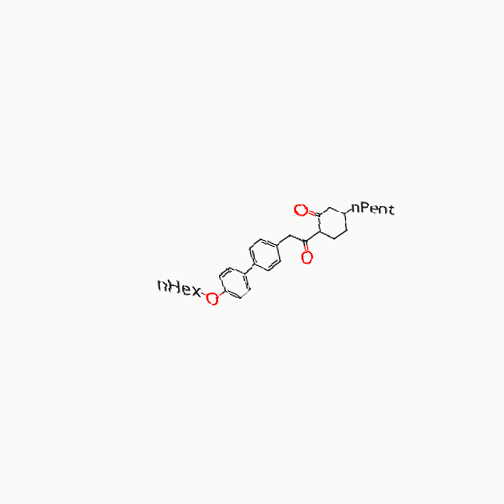 CCCCCCOc1ccc(-c2ccc(CC(=O)C3CCC(CCCCC)CC3=O)cc2)cc1